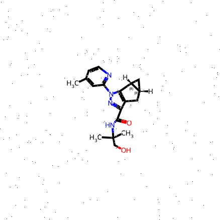 Cc1ccnc(-n2nc(C(=O)NC(C)(C)CO)c3c2[C@@H]2C[C@@H]2C3)c1